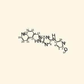 COc1ccc(Nc2cnc3[nH]n(Cc4ccc5ncccc5c4)c3n2)cn1